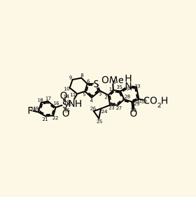 COc1c(-c2cc3c(s2)CCCC3NS(=O)(=O)c2ccc(F)cc2)c(C2CC2)cc2c(=O)c(C(=O)O)c[nH]c12